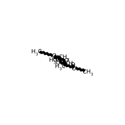 CCCCCCCCOC(=O)CC(C)(C)C1=CC(=O)C(C(C)(C)CCCC(=O)OCCCCCC)=CC1=O